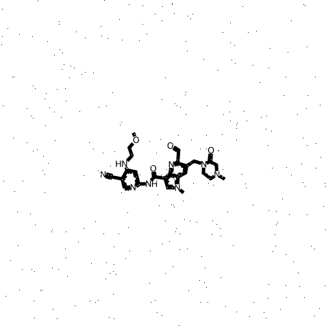 COCCNc1cc(NC(=O)c2cn(C)c3cc(CN4CCN(C)CC4=O)c(C=O)nc23)ncc1C#N